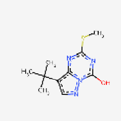 CSc1nc(O)n2ncc(C(C)(C)C)c2n1